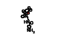 Nc1ccc(C(=O)NCCCN2C(=O)C3(COc4cc5c(cc43)OCO5)c3ccccc32)cc1